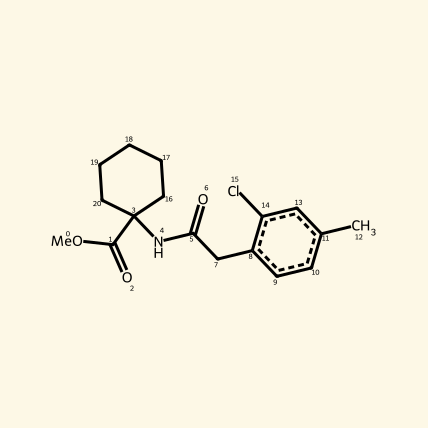 COC(=O)C1(NC(=O)Cc2ccc(C)cc2Cl)CCCCC1